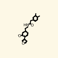 COc1cc(CCNC(=O)Cc2ccc(C)c(C)c2)ccc1-c1ccoc1